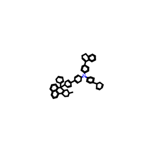 CC1CCC2=C(C1)C(C1=CC=CCC1)(C1C=CC(C3=CCC(N(c4ccc(C5=CCCc6ccccc65)cc4)c4ccc(C5C=CC=CC5)cc4)C=C3)=CC1)c1cccc3cccc2c13